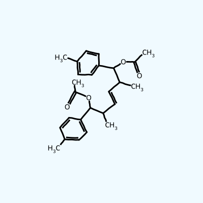 CC(=O)OC(c1ccc(C)cc1)C(C)/C=C/C(C)C(OC(C)=O)c1ccc(C)cc1